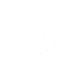 O=C(O)[C@H](O)[C@@H](O)[C@H](O)[C@H](O)CO.O=C(O)[C@H](O)[C@@H](O)[C@H](O)[C@H](O)CO